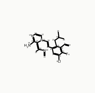 C=Cc1c(F)c(Cl)cc(/C=C/N2C=CN=C(N)/C2=C(\C)N=C)c1CC(C)C